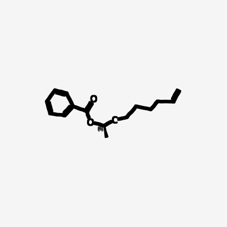 C=CCCCCC[C@@H](C)OC(=O)c1ccccc1